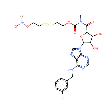 CN(C(=O)OCCSSCCO[N+](=O)[O-])C(=O)[C@H]1OC(n2cnc3c(NCc4cccc(F)c4)ncnc32)[C@H](O)[C@@H]1O